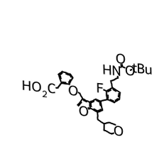 CC(C)(C)OC(=O)NCCc1cccc(-c2cc(CC3CCOCC3)c3occ(COc4ccccc4CC(=O)O)c3c2)c1F